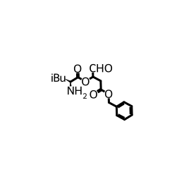 CC[C@H](C)[C@H](N)C(=O)OC(C=O)CC(=O)OCc1ccccc1